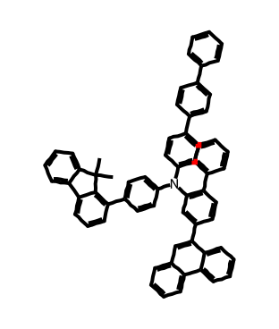 CC1(C)c2ccccc2-c2cccc(-c3ccc(N(c4ccc(-c5ccc(-c6ccccc6)cc5)cc4)c4cc(-c5cc6ccccc6c6ccccc56)ccc4-c4ccccc4)cc3)c21